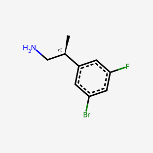 C[C@H](CN)c1cc(F)cc(Br)c1